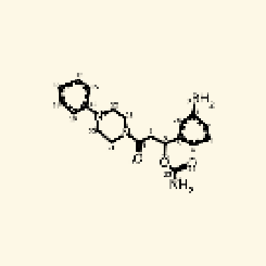 Bc1cccc(C(CC(=O)N2CCN(c3ccccc3)CC2)OC(N)=O)c1